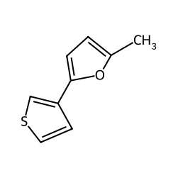 Cc1ccc(-c2ccsc2)o1